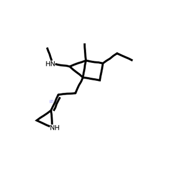 CCC1CC2(C/C=C3/CN3)C(NC)C12C